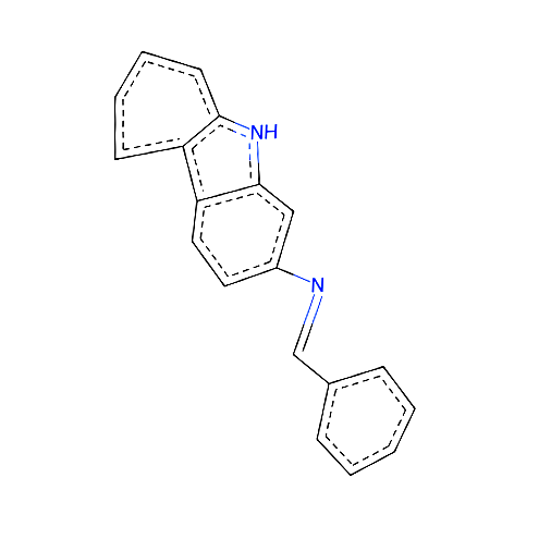 C(=Nc1ccc2c(c1)[nH]c1ccccc12)c1ccccc1